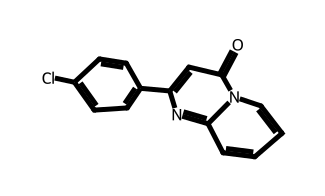 O=c1cc(-c2ccc(Cl)cc2)nc2ccccn12